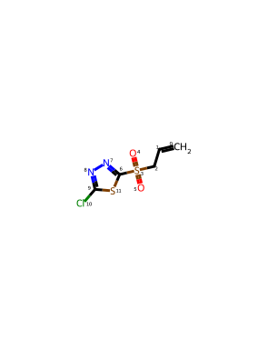 C=CCS(=O)(=O)c1nnc(Cl)s1